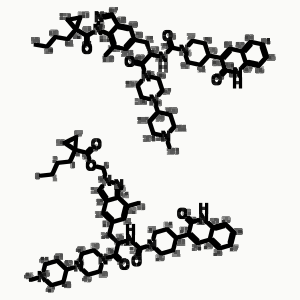 CCCCC1(C(=O)OCn2cc3cc(C[C@@H](NC(=O)N4CCC(c5cc6ccccc6[nH]c5=O)CC4)C(=O)N4CCN(C5CCN(C)CC5)CC4)cc(C)c3n2)CC1.CCCCC1(C(=O)n2ncc3cc(C[C@@H](NC(=O)N4CCC(c5cc6ccccc6[nH]c5=O)CC4)C(=O)N4CCN(C5CCN(C)CC5)CC4)cc(C)c32)CC1